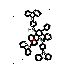 c1ccc(-c2cc(Nc3ccc(-n4c5ccccc5c5ccccc54)cc3)c(-c3ccccc3)c(N(Nc3ccc(-n4c5ccccc5c5ccccc54)cc3)c3ccc(-n4c5ccccc5c5ccccc54)cc3)c2-c2ccccc2)cc1